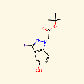 CC(C)(C)OC(=O)Cn1nc(I)c2cc(O)ccc21